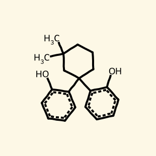 CC1(C)CCCC(c2ccccc2O)(c2ccccc2O)C1